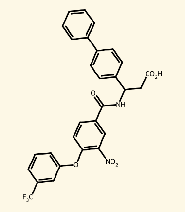 O=C(O)CC(NC(=O)c1ccc(Oc2cccc(C(F)(F)F)c2)c([N+](=O)[O-])c1)c1ccc(-c2ccccc2)cc1